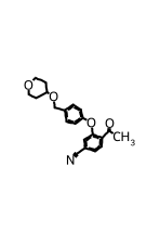 CC(=O)c1ccc(C#N)cc1Oc1ccc(COC2CCOCC2)cc1